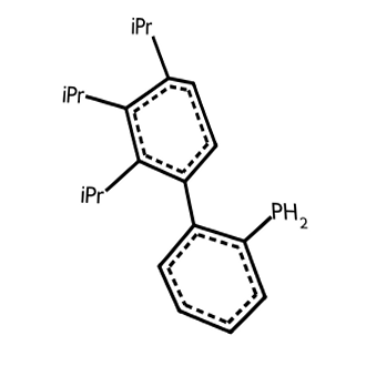 CC(C)c1ccc(-c2ccccc2P)c(C(C)C)c1C(C)C